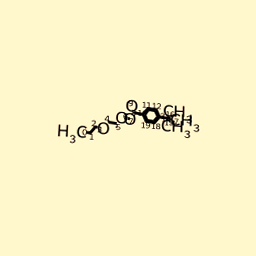 CCCOC[CH]OOC(=O)c1ccc(C(C)(C)C)cc1